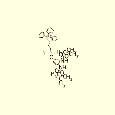 CC(C)(C)OC(=O)Nc1ccc(OCCCCCC[P+](c2ccccc2)(c2ccccc2)c2ccccc2)cc1NC(=O)OC(C)(C)C.[I-]